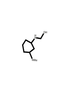 CNC1CCCC(NCO)C1